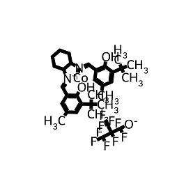 Cc1cc(C=[N+]2[Co][N+](=Cc3cc(C)cc(C(C)(C)C)c3O)C3CCCCC32)c(O)c(C(C)(C)C)c1.[O-]C(F)(F)C(F)(C(F)(F)F)C(F)(F)F